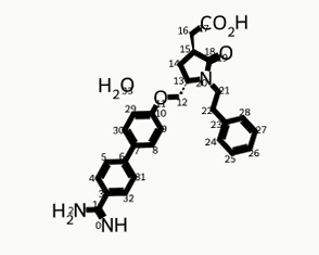 N=C(N)c1ccc(-c2ccc(OC[C@@H]3C[C@@H](CC(=O)O)C(=O)N3CCc3ccccc3)cc2)cc1.O